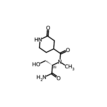 CN(C(=O)C1CCNC(=O)C1)[C@@H](CO)C(N)=O